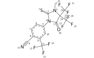 CN1C(=S)N(c2ccc(C#N)c(C(F)(F)F)c2)C(=O)C1(C(F)(F)F)C(F)(F)F